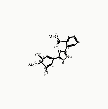 COC(=O)c1ccccc1-c1nnc(-c2cc(Cl)c(OC)c(Cl)c2)o1